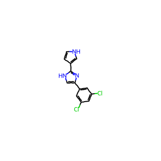 Clc1cc(Cl)cc(-c2c[nH]c(-c3cc[nH]c3)n2)c1